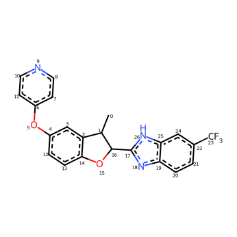 CC1c2cc(Oc3ccncc3)ccc2OC1c1nc2ccc(C(F)(F)F)cc2[nH]1